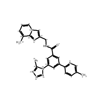 Cc1ccc(-c2cc(C(=O)NCc3cn4cccc(C)c4n3)cc(-n3nnnc3C(C)C)c2)nc1